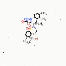 Cc1ccc(F)c([C@@H](C)[C@@H](c2n[nH]c(=O)o2)N2CCOc3c(ccc(Cl)c3[C@H](C)O)S2(=O)=O)c1C